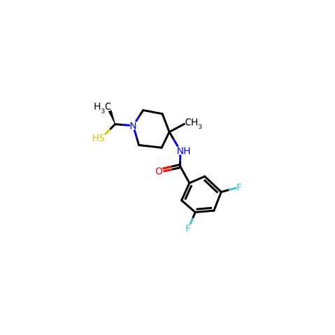 C[C@H](S)N1CCC(C)(NC(=O)c2cc(F)cc(F)c2)CC1